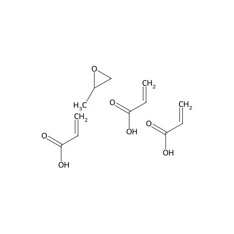 C=CC(=O)O.C=CC(=O)O.C=CC(=O)O.CC1CO1